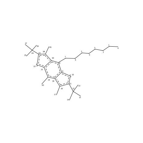 CCCCCCCCc1c2sc(C(C)(C)C)c(C)c2c(C)c2sc(C(C)(C)C)c(C)c12